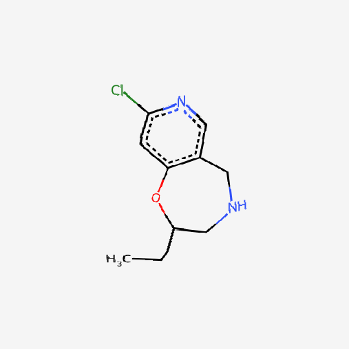 CCC1CNCc2cnc(Cl)cc2O1